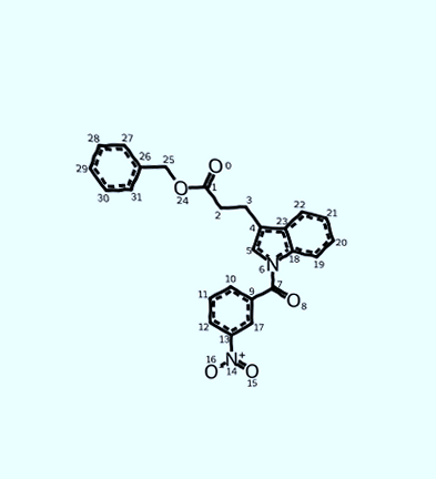 O=C(CCc1cn(C(=O)c2cccc([N+](=O)[O-])c2)c2ccccc12)OCc1ccccc1